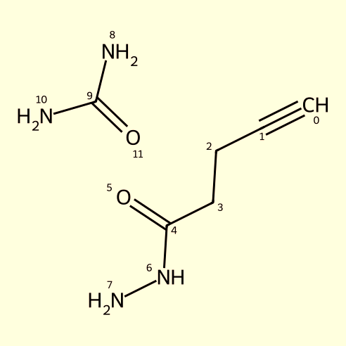 C#CCCC(=O)NN.NC(N)=O